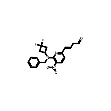 O=CCC=Cc1ccc([N+](=O)[O-])c(N(Cc2ccccc2)C2CC(F)(F)C2)n1